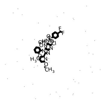 CCOc1cccc(-c2nc3nc(Cl)c(NS(=O)(=O)c4ccc(C(F)F)cc4)nc3n2-c2c(OC)cccc2OC)n1